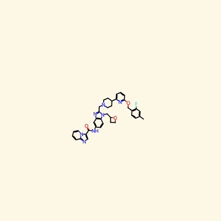 Cc1ccc(COc2cccc(C3CCN(Cc4nc5cc(NC(=O)c6cnc7ccccn67)ccc5n4CC4CCO4)CC3)n2)c(F)c1